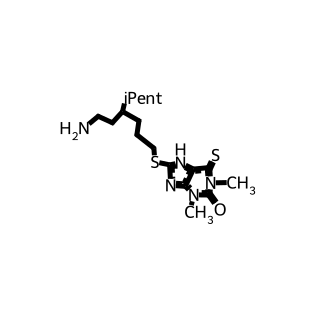 CCCC(C)C(CCN)CCCSc1nc2c([nH]1)c(=S)n(C)c(=O)n2C